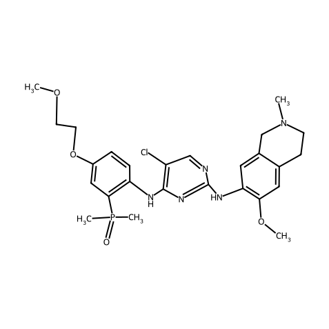 COCCOc1ccc(Nc2nc(Nc3cc4c(cc3OC)CCN(C)C4)ncc2Cl)c(P(C)(C)=O)c1